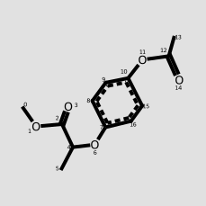 COC(=O)C(C)Oc1ccc(OC(C)=O)cc1